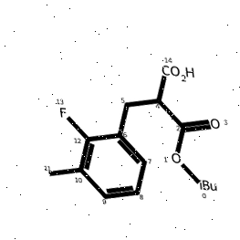 CCC(C)OC(=O)C(Cc1cccc(C)c1F)C(=O)O